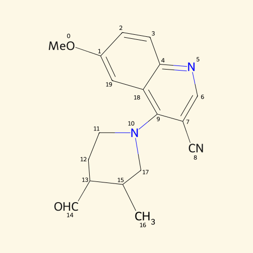 COc1ccc2ncc(C#N)c(N3CCC(C=O)C(C)C3)c2c1